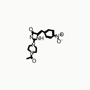 CC(=O)N1CCN(C2=NC(=O)C(=Cc3ccc([N+](=O)[O-])cc3)N2)CC1